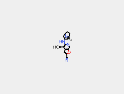 C#Cc1c(NC2CC3CCC(C2)N3C)ncc2oc(C#N)cc12